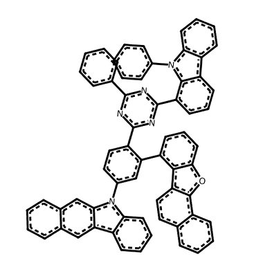 c1ccc(-c2nc(-c3ccc(-n4c5ccccc5c5cc6ccccc6cc54)cc3-c3cccc4oc5c6ccccc6ccc5c34)nc(-c3cccc4c5ccccc5n(-c5ccccc5)c34)n2)cc1